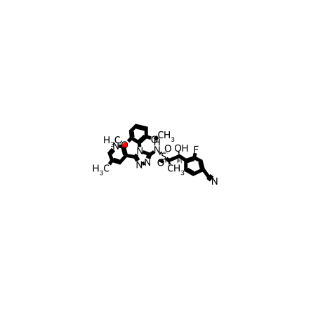 COc1cccc(OC)c1-n1c(NS(=O)(=O)[C@H](C)[C@H](O)c2ccc(C#N)cc2F)nnc1-c1cncc(C)c1